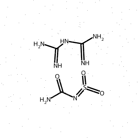 N=C(N)NC(=N)N.NC(=O)N=S(=O)=O